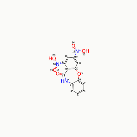 O=C1Nc2ccccc2Oc2cc([N+](=O)O)cc([N+](=O)O)c21